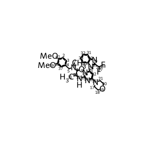 COc1ccc(CN(C)C(=O)[C@H](C)Nc2nc(N3CCOCC3)cc(-n3c(C(F)F)nc4ccccc43)n2)cc1OC